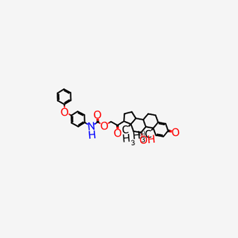 CC12C=CC(=O)C=C1CCC1C2[C@@H](O)CC2(C)C(C(=O)COC(=O)Nc3ccc(Oc4ccccc4)cc3)CCC12